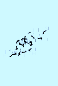 CC(COCC(CO)(COCC(C)OCC(C)OCC(C)OCC(O)CS)COCC(C)OCC(C)OCC(C)OCC(O)CS)OCC(C)OCC(C)OCC(O)CS